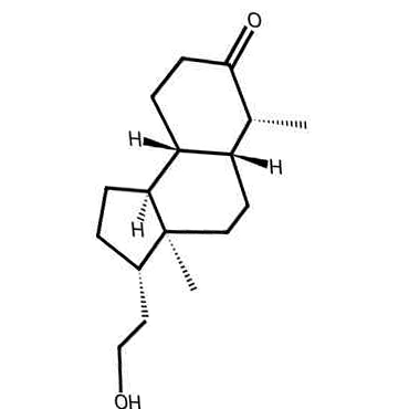 C[C@H]1C(=O)CC[C@@H]2[C@H]1CC[C@@]1(C)[C@H](CCO)CC[C@@H]21